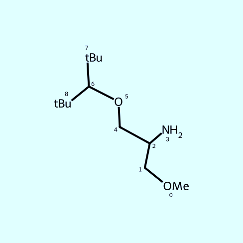 COCC(N)COC(C(C)(C)C)C(C)(C)C